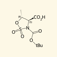 C[C@H]1OS(=O)(=O)N(C(=O)OC(C)(C)C)[C@@H]1C(=O)O